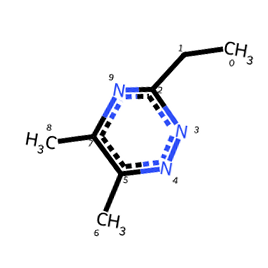 CCc1nnc(C)c(C)n1